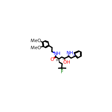 COc1ccc(CCNC(=O)[C@H](CCC(C)(C)F)C[C@H](O)[C@@H](N)Cc2ccccc2)cc1OC